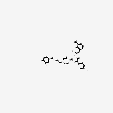 CC1CN(CCNC(=O)c2ccc(O)c(O)c2Cl)C(=O)C(=O)N1C(=O)NC(C(=O)N[C@H]1Cc2cccc(C(=O)O)c2OB1O)c1ncc(O)cc1F